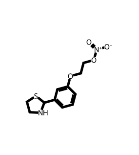 O=[N+]([O-])OCCOc1cccc(C2NCCS2)c1